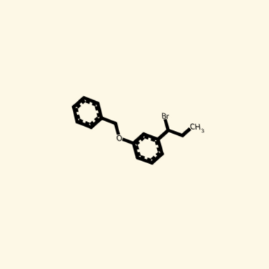 CCC(Br)c1cccc(OCc2ccccc2)c1